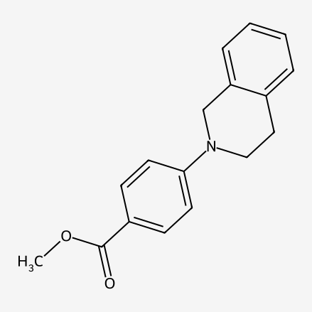 COC(=O)c1ccc(N2CCc3ccccc3C2)cc1